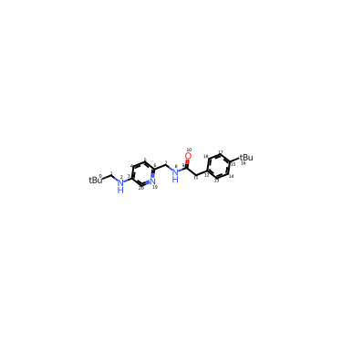 CC(C)(C)CNc1ccc(CNC(=O)Cc2ccc(C(C)(C)C)cc2)nc1